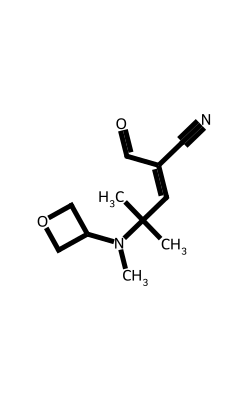 CN(C1COC1)C(C)(C)C=C(C#N)C=O